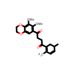 COc1c(C(=O)CCC(=O)C2=C(C(F)(F)F)C=CC(C)C2)cc2c(c1OC)OCCO2